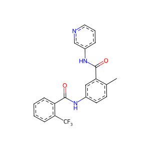 Cc1ccc(NC(=O)c2ccccc2C(F)(F)F)cc1C(=O)Nc1cccnc1